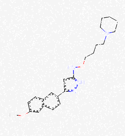 COc1ccc2cc(-c3cc(NOCCCCN4CCCCC4)[nH]n3)ccc2c1